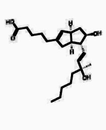 CCCCC[C@](C)(O)C=C[C@@H]1[C@H]2CC(CCCCC(=O)O)=C[C@H]2C[C@H]1O